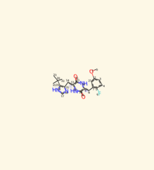 COc1ccc(F)c(/C=c2\[nH]c(=O)/c(=C/c3nc[nH]c3C(C)(C)C)[nH]c2=O)c1